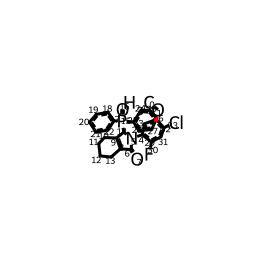 COc1cc(N2C(=O)C3=C(CCCC3)C2P(=O)(c2ccccc2)c2ccccc2)c(F)cc1Cl